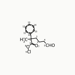 CC(CCCC=O)(C(=O)OCl)c1ccccc1